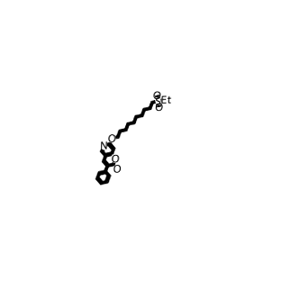 CCS(=O)(=O)CCCCCCCCCCOc1cc2oc(=O)c(-c3ccccc3)cc2cn1